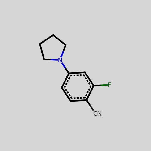 N#Cc1ccc(N2CCCC2)cc1F